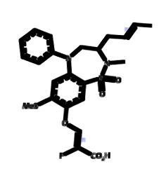 C/C=C/CC1CN(c2ccccc2)c2cc(SC)c(O/C=C(\F)C(=O)O)cc2S(=O)(=O)N1C